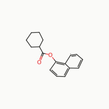 O=C(Oc1cccc2ccc[c]c12)C1CCCCC1